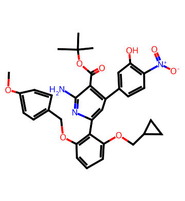 COc1ccc(COc2cccc(OCC3CC3)c2-c2cc(-c3ccc([N+](=O)[O-])c(O)c3)c(C(=O)OC(C)(C)C)c(N)n2)cc1